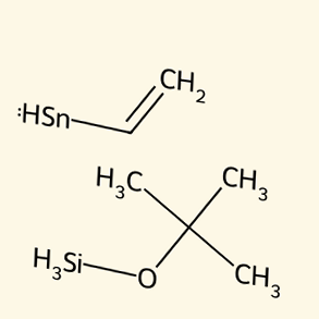 C=[CH][SnH].CC(C)(C)O[SiH3]